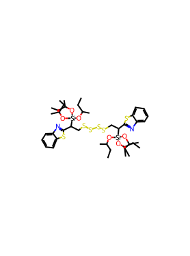 CCC(C)O[Si](OC(C)CC)(OC(C)CC)C(CSSSSCC(c1nc2ccccc2s1)[Si](OC(C)CC)(OC(C)CC)OC(C)CC)c1nc2ccccc2s1